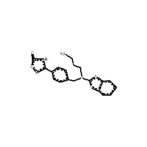 CCCCN(Cc1ccc(-c2noc(=O)[nH]2)cc1)c1nc2ccccc2s1